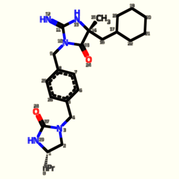 CCC[C@H]1CN(Cc2ccc(CN3C(=N)N[C@](C)(CC4CCCCC4)C3=O)cc2)C(=O)N1